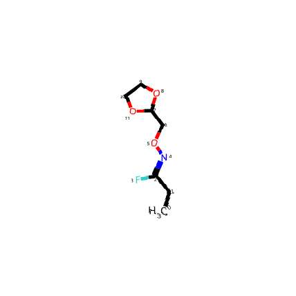 CCC(F)=NOCC1OCCO1